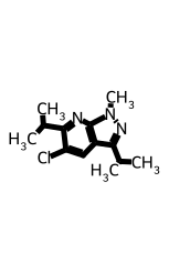 CC(C)c1nc2c(cc1Cl)c(C(C)C)nn2C